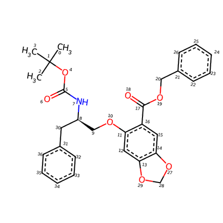 CC(C)(C)OC(=O)N[C@@H](COc1cc2c(cc1C(=O)OCc1ccccc1)OCO2)Cc1ccccc1